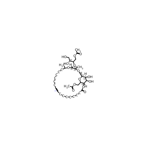 CC(=O)OCC1O[C@H]2O[C@@H](C)[C@@H](OC(COC(C)=O)[C@@H](O)CO)OC(C)CCCCCC/C=C\CCCCCCCC(=O)O[C@H]1C(O)[C@@H]2O